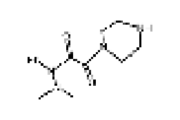 CCN(C(=O)C(=O)N1CCNCC1)N(C)C